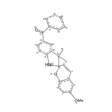 COc1ccc2c(c1)C=CC1(Nc3ccc(C(=O)c4ccccc4)cc3C1(C)C)O2